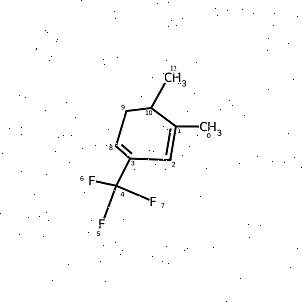 CC1=CC(C(F)(F)F)=CCC1C